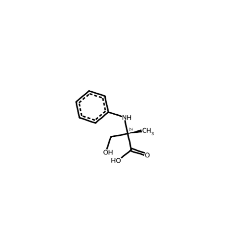 C[C@@](CO)(Nc1ccccc1)C(=O)O